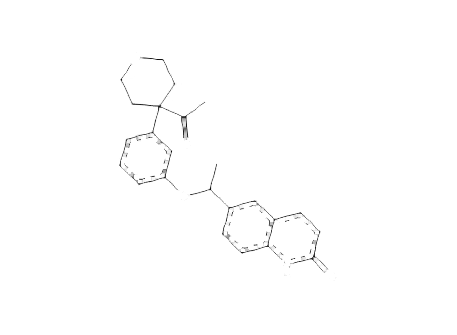 CC(=O)C1(c2cccc(OC(C)c3ccc4[nH]c(=O)ccc4c3)c2)CCOCC1